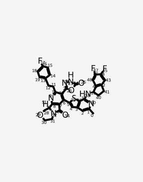 Cc1cc2cc(-c3c4c(nc(CCc5ccc(F)cc5)c3-c3n[nH]c(=O)o3)[C@@H]3COCCN3C4=O)sc2c(N[C@@H]2CCc3cc(F)c(F)cc32)n1